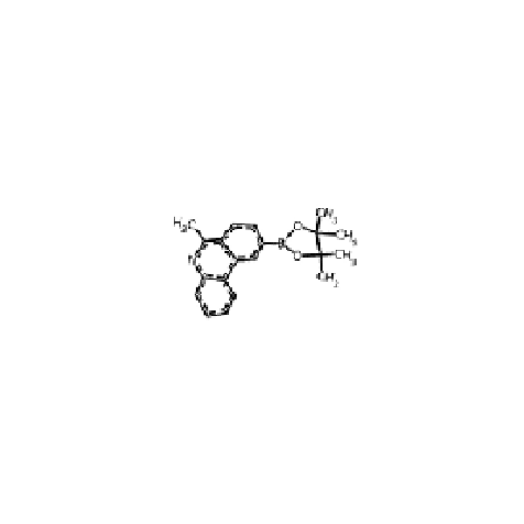 Cc1nc2ccccc2c2cc(B3OC(C)(C)C(C)(C)O3)ccc12